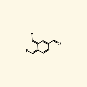 O=Cc1ccc(=CF)c(=CF)c1